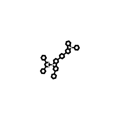 c1ccc(-c2ccc3c4cc(-c5ccc(-c6ccc7c(c6)c6ccccc6n7-c6ccccc6)cc5)ccc4n(-c4nc(-c5ccccc5)cc(-c5ccccc5)n4)c3c2)cc1